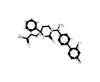 C[C@@H](c1ccc(-c2ccc(F)cc2F)cc1)N1CC[C@@](CCC(=O)O)(c2ccccc2)OC1=O